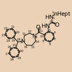 CCCCCCCNC(=O)Nc1ccccc1C(=O)N1CCCN(C(c2ccccc2)c2ccccc2)CC1